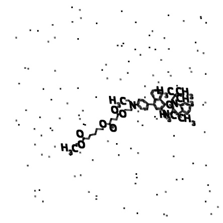 CCOC(=O)CCCCCOC(=O)CCC(=O)OCCN(CC)c1ccc(-c2cc3c(c4ccccc24)OC2(C=N3)N(CC(C)(C)C)c3ccccc3C2(C)C)cc1